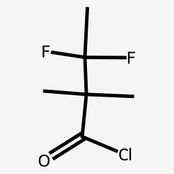 CC(F)(F)C(C)(C)C(=O)Cl